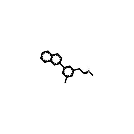 C/[SH]=C/Cc1cc(C)cc(-c2ccc3ccccc3c2)c1